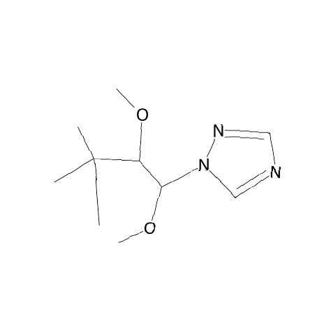 COC(C(OC)C(C)(C)C)n1cncn1